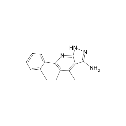 Cc1ccccc1-c1nc2[nH]nc(N)c2c(C)c1C